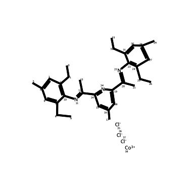 CCc1cc(C)cc(CC)c1N=C(C)c1cc(C)cc(C(C)=Nc2c(CC)cc(C)cc2CC)n1.[Cl-].[Cl-].[Cl-].[Co+3]